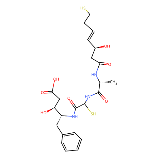 C[C@@H](NC(=O)C[C@H](O)/C=C/CCS)C(=O)NC(S)C(=O)N[C@H](Cc1ccccc1)[C@@H](O)CC(=O)O